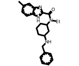 CCN(C(=O)c1nc2cc(C)ccc2[nH]1)C1CCCC(NCc2ccccc2)C1